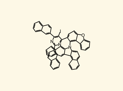 Ic1c(-c2ccc3ccccc3c2)nc(-c2ccc3ccccc3c2)nc1-c1ccc2oc3ccccc3c2c1-n1c2cc3ccccc3cc2c2c3ccccc3ccc21